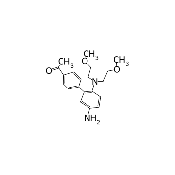 COCCN(CCOC)c1ccc(N)cc1-c1ccc(C(C)=O)cc1